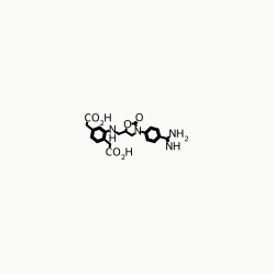 N=C(N)c1ccc(N2CC(CNc3cc(CC(=O)O)ccc3CC(=O)O)OC2=O)cc1